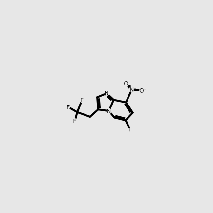 O=[N+]([O-])c1cc(I)cn2c(CC(F)(F)F)cnc12